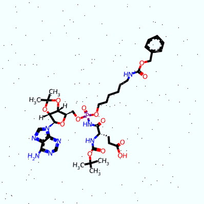 CC(C)(C)OC(=O)N[C@@H](CCC(=O)O)C(=O)NP(=O)(OCCCCCCNC(=O)OCc1ccccc1)OC[C@H]1O[C@@H](n2cnc3c(N)ncnc32)[C@@H]2OC(C)(C)O[C@@H]21